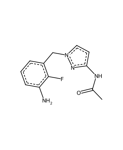 CC(=O)Nc1ccn(Cc2cccc(N)c2F)n1